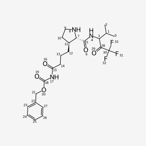 CC(C)C(NC(=O)[C@H]1NCC[C@@H]1CCCC(=O)NC(=O)OCc1ccccc1)C(=O)C(F)(F)F